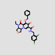 CCN1C(=O)c2c(OCc3ccccc3)c(=O)c(C(=O)NCc3ccc(F)cc3F)cn2C2COCC21